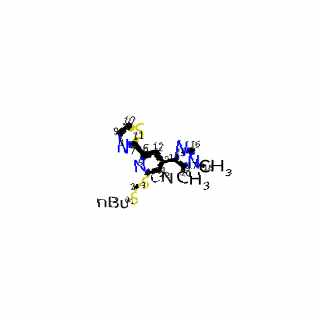 CCCCSCSc1nc(-c2nccs2)cc(-c2ncn(C)c2C)c1C#N